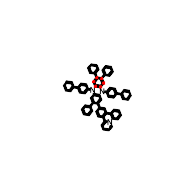 c1ccc(-c2ccc(N(c3ccc(-c4ccccc4)cc3)c3cc(-c4ccccc4)c(-c4ccc(-c5ccccn5)c(-c5ccccc5)c4)cc3N(c3ccc(-c4ccccc4)cc3)c3ccc(-c4ccccc4)cc3)cc2)cc1